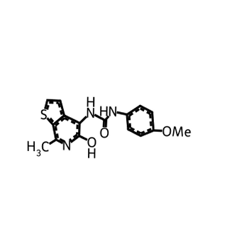 COc1ccc(NC(=O)Nc2c(O)nc(C)c3sccc23)cc1